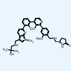 COc1cc(-c2nccc(-c3cccc(-c4ccc5c(CNCC(C)(C)O)cn(C)c5n4)c3Cl)c2Cl)ccc1CNC[C@H]1CCC(=O)N1